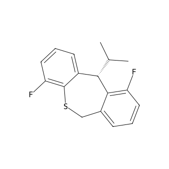 CC(C)[C@H]1c2cccc(F)c2SCc2cccc(F)c21